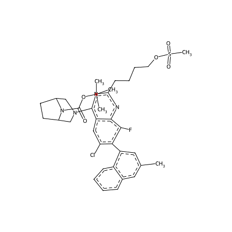 Cc1cc(-c2c(Cl)cc3c(N4CC5CCC(C4)N5C(=O)OC(C)(C)C)nc(CCCCOS(C)(=O)=O)nc3c2F)c2ccccc2c1